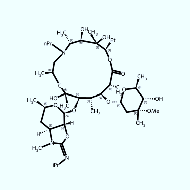 CCCN1C[C@H](C)C[C@@](C)(O)[C@H](O[C@@H]2O[C@H](C)C[C@H]3[C@H]2OC(=NC(C)C)N3C)[C@@H](C)[C@H](O[C@H]2C[C@@](C)(OC)[C@@H](O)[C@H](C)O2)[C@@H](C)C(=O)O[C@H](CC)[C@@](C)(O)[C@H](O)[C@H]1C